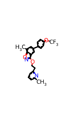 Cc1cccc(CCOc2noc3c(C)cc(-c4ccc(OC(F)(F)F)cc4)cc23)n1